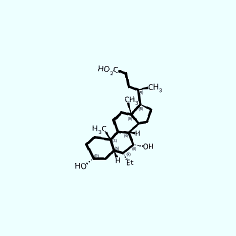 CC[C@H]1[C@@H](O)[C@H]2C3CC[C@H]([C@H](C)CCC(=O)O)[C@@]3(C)CCC2[C@@]2(C)CC[C@@H](O)C[C@@H]12